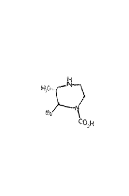 C[C@@H]1NCCN(C(=O)O)C1C(C)(C)C